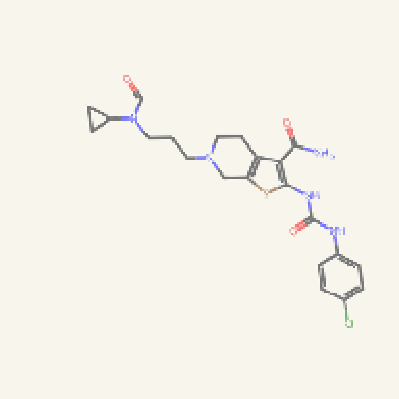 NC(=O)c1c(NC(=O)Nc2ccc(Cl)cc2)sc2c1CCN(CCCN(C=O)C1CC1)C2